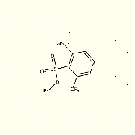 CCCc1cccc(C(F)(F)F)c1S(=O)(=O)OC(C)C